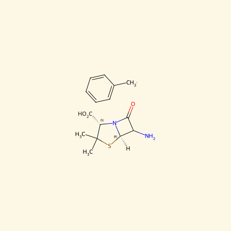 CC1(C)S[C@@H]2C(N)C(=O)N2[C@H]1C(=O)O.[CH2]c1ccccc1